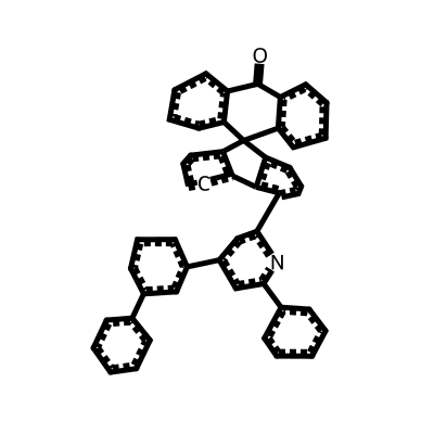 O=C1c2ccccc2C2(c3ccccc31)c1ccccc1-c1c(-c3cc(-c4cccc(-c5ccccc5)c4)cc(-c4ccccc4)n3)cccc12